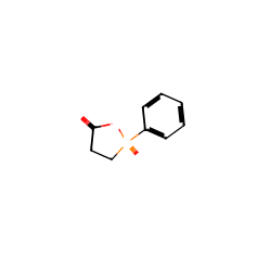 O=C1CCP(=O)(c2ccccc2)O1